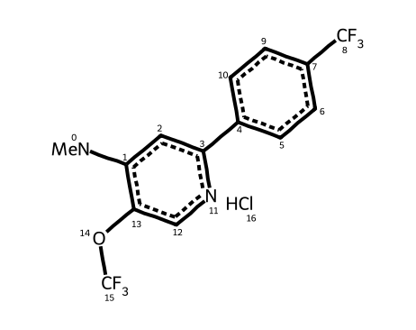 CNc1cc(-c2ccc(C(F)(F)F)cc2)ncc1OC(F)(F)F.Cl